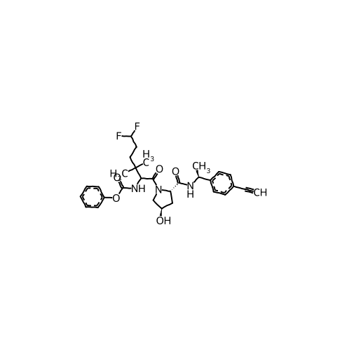 C#Cc1ccc([C@H](C)NC(=O)[C@@H]2C[C@@H](O)CN2C(=O)C(NC(=O)Oc2ccccc2)C(C)(C)CCC(F)F)cc1